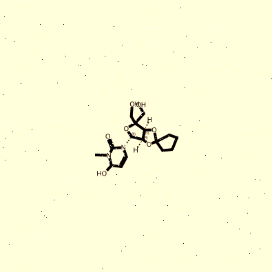 CN1C(=O)N([C@@H]2OC(CO)(CO)[C@H]3OC4(CCCC4)O[C@@H]23)C=CC1O